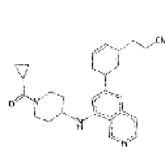 N#CCCC1=CC(c2cc(NC3CCN(C(=O)C4CC4)CC3)c3cnccc3c2)CC=C1